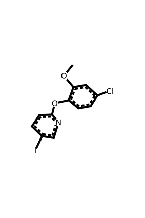 COc1cc(Cl)ccc1Oc1ccc(I)cn1